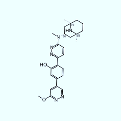 COc1cc(-c2ccc(-c3ccc(N(C)[C@H]4C[C@]5(C)CCC[C@](C)(C4)N5)nn3)c(O)c2)cnn1